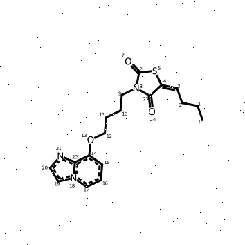 CCCC=C1SC(=O)N(CCCCOc2cccn3ccnc23)C1=O